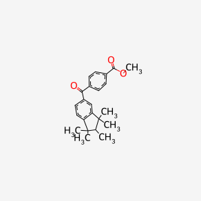 COC(=O)c1ccc(C(=O)c2ccc3c(c2)C(C)(C)C(C)C3(C)C)cc1